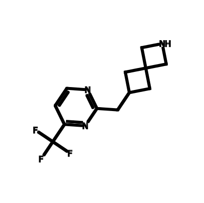 FC(F)(F)c1ccnc(CC2CC3(CNC3)C2)n1